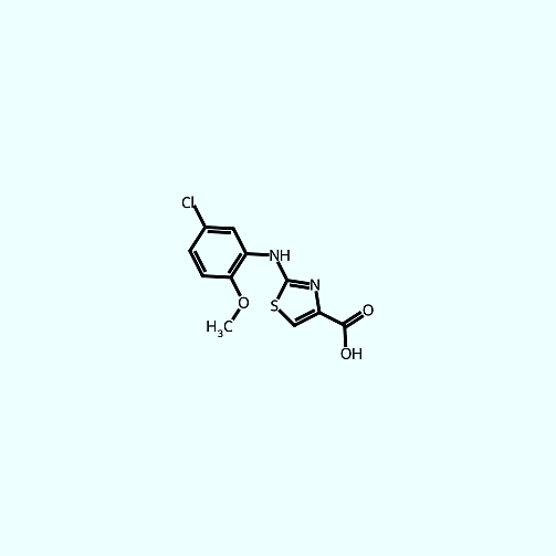 COc1ccc(Cl)cc1Nc1nc(C(=O)O)cs1